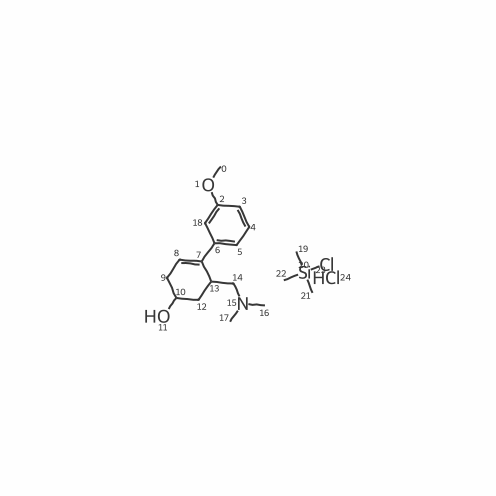 COc1cccc(C2=CCC(O)CC2CN(C)C)c1.C[Si](C)(C)Cl.Cl